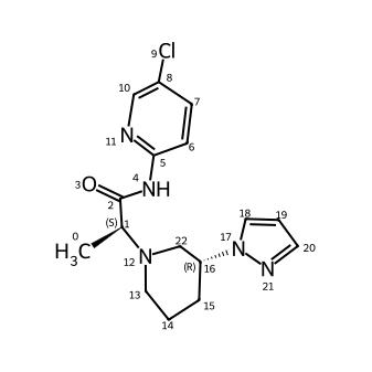 C[C@@H](C(=O)Nc1ccc(Cl)cn1)N1CCC[C@@H](n2cccn2)C1